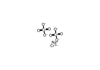 [Cr+3].[Na+].[O]=[Cr](=[O])([O-])[O-].[O]=[Cr](=[O])([O-])[O-]